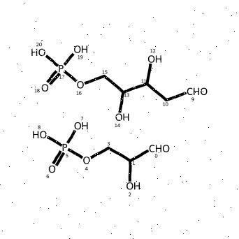 O=CC(O)COP(=O)(O)O.O=CCC(O)C(O)COP(=O)(O)O